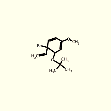 C=CC1(Br)C=CC(OC)=CC1OC(C)(C)C